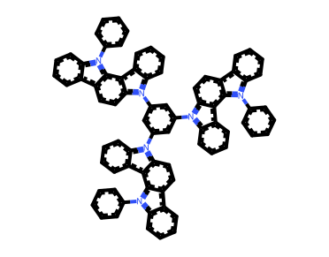 c1ccc(-n2c3ccccc3c3ccc4c(c5ccccc5n4-c4cc(-n5c6ccccc6c6c5ccc5c7ccccc7n(-c7ccccc7)c56)cc(-n5c6ccccc6c6c5ccc5c7ccccc7n(-c7ccccc7)c56)c4)c32)cc1